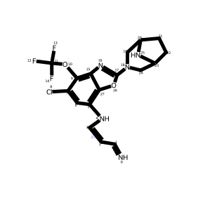 N=C/C=C\Nc1cc(Cl)c(OC(F)(F)F)c2nc(N3CC4CCC(C3)N4)oc12